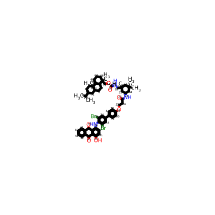 CC(C)C1CCC2C(CCC3C(C)(COC(=O)NCC4(C)CC(NC(=O)CCOc5ccc(-c6cc(Br)c(Nc7ccc(O)c8c7C(=O)c7ccccc7C8=O)c(Br)c6)cc5)CC(C)(C)C4)CCCC23C)C1